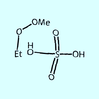 CCOOC.O=S(=O)(O)O